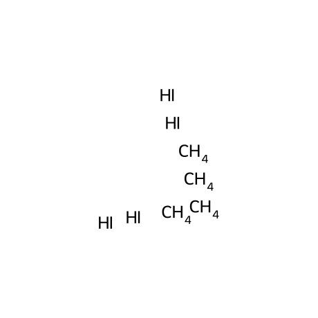 C.C.C.C.I.I.I.I